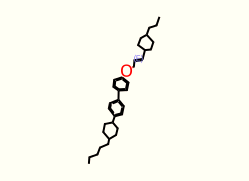 CCCCCC1CCC(c2ccc(-c3ccc(OC/C=C/C4CCC(CCC)CC4)cc3)cc2)CC1